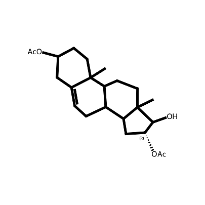 CC(=O)OC1CCC2(C)C(=CCC3C2CCC2(C)C3C[C@@H](OC(C)=O)C2O)C1